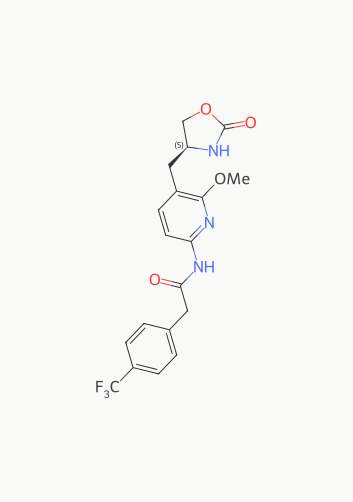 COc1nc(NC(=O)Cc2ccc(C(F)(F)F)cc2)ccc1C[C@H]1COC(=O)N1